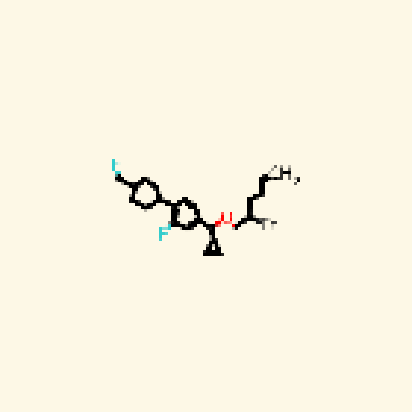 C=CCCC(CC)COC(c1ccc(C2CCC(CF)CC2)c(F)c1)C1CC1